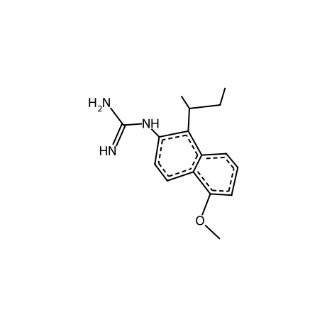 CCC(C)c1c(NC(=N)N)ccc2c(OC)cccc12